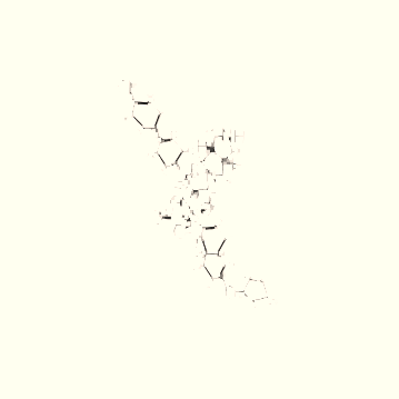 O=C([C@@H](N(OC(=O)C(F)(F)F)S(=O)(=O)c1ccc2cc(OC3CCCC3)ccc2c1)C(F)(F)c1ccc(-c2ccc(Cl)cc2)cc1)N1C[C@H]2CNC[C@H]2C1